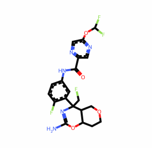 NC1=NC(CF)(c2cc(NC(=O)c3cnc(OC(F)F)cn3)ccc2F)C2COCCC2O1